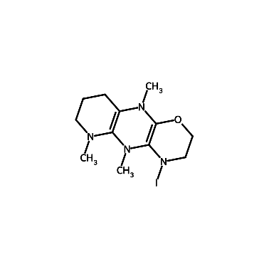 CN1CCCC2=C1N(C)C1=C(OCCN1I)N2C